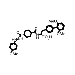 COc1ccc(NNC(=O)[C@H]2CC[C@H](C(=O)N[C@@H](Cc3ccc(-c4c(OC)cccc4OC)cc3)C(=O)O)CC2)cc1